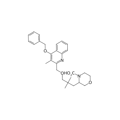 Cc1c(COCC(C)(C)CC2COCCN2C(=O)O)nc2ccccc2c1OCc1ccccc1